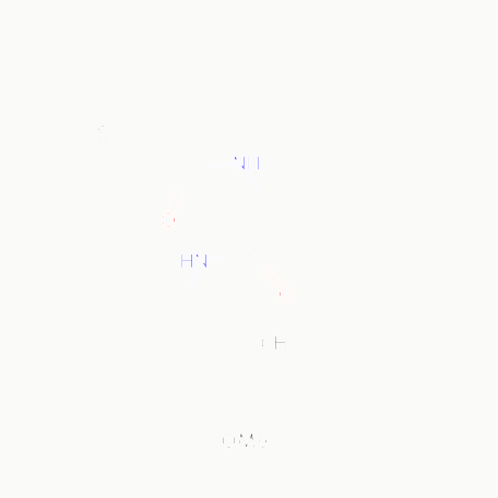 COc1cccc(NC(=O)C(CC2=CCCC=C2)NC(=O)c2cccs2)c1C